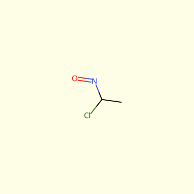 CC(Cl)N=O